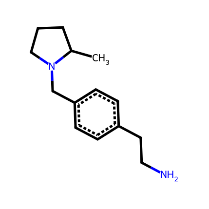 CC1CCCN1Cc1ccc(CCN)cc1